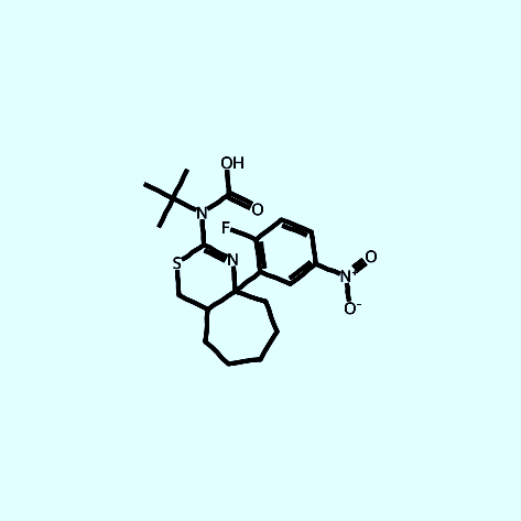 CC(C)(C)N(C(=O)O)C1=NC2(c3cc([N+](=O)[O-])ccc3F)CCCCCC2CS1